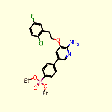 CCOP(=O)(OCC)c1ccc(-c2cnc(N)c(OCCc3cc(F)ccc3Cl)c2)cc1